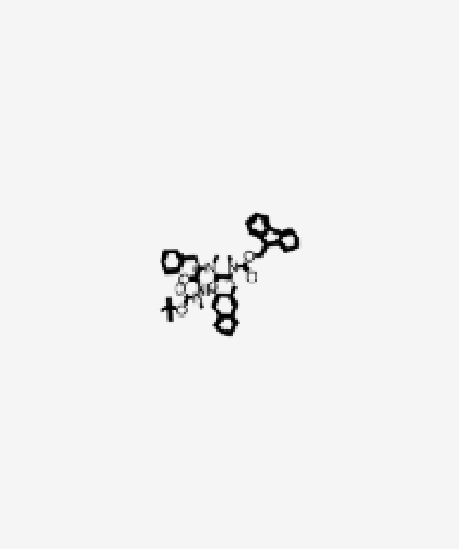 CN(NC(=O)[C@@H](Cc1ccccc1)N(C)C(=O)[C@@H](Cc1ccc2ccccc2c1)N(C)C(=O)OCC1c2ccccc2-c2ccccc21)C(=O)OC(C)(C)C